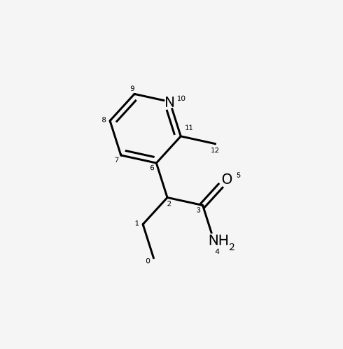 CCC(C(N)=O)c1cccnc1C